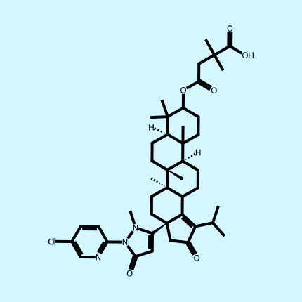 CC(C)C1=C2C3CC[C@@H]4C5(C)CCC(OC(=O)CC(C)(C)C(=O)O)C(C)(C)[C@@H]5CC[C@@]4(C)[C@]3(C)CC[C@@]2(c2cc(=O)n(-c3ccc(Cl)cn3)n2C)CC1=O